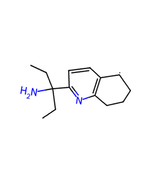 CCC(N)(CC)c1ccc2c(n1)CCC[CH]2